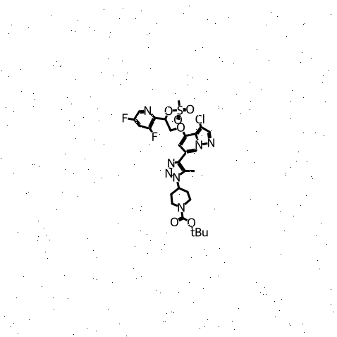 Cc1c(-c2cc(OCC(OS(C)(=O)=O)c3ncc(F)cc3F)c3c(Cl)cnn3c2)nnn1C1CCN(C(=O)OC(C)(C)C)CC1